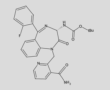 CC(C)(C)OC(=O)N[C@H]1N=C(c2ccccc2F)c2ccccc2N(Cc2ncccc2C(N)=O)C1=O